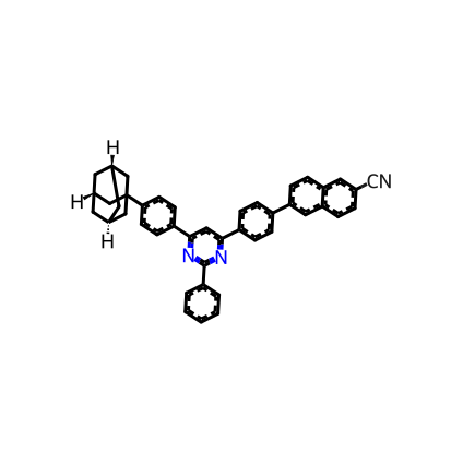 N#Cc1ccc2cc(-c3ccc(-c4cc(-c5ccc(C67C[C@H]8C[C@H](C6)C[C@@H](C7)C8)cc5)nc(-c5ccccc5)n4)cc3)ccc2c1